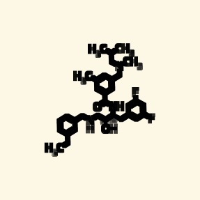 CCc1cccc(CNC[C@@H](O)[C@H](Cc2cc(F)cc(F)c2)NC(=O)c2cc(C)cc(CN(C)CC(C)C)c2)c1